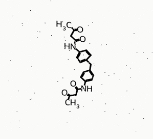 CC(=O)CC(=O)Nc1ccc(Cc2ccc(NC(=O)CC(C)=O)cc2)cc1